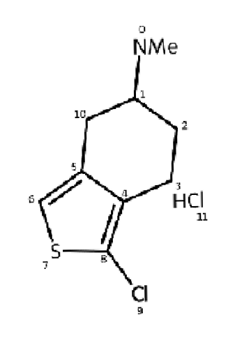 CNC1CCc2c(csc2Cl)C1.Cl